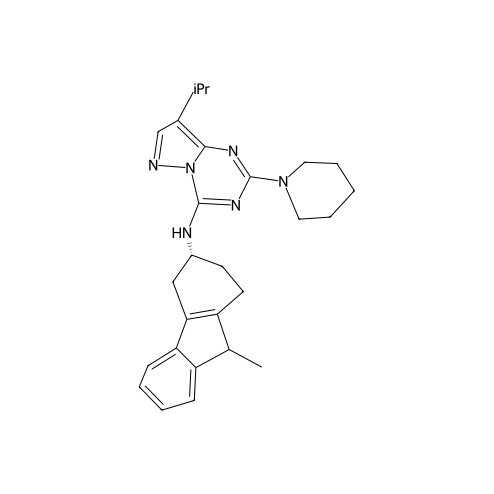 CC(C)c1cnn2c(N[C@@H]3CCC4=C(C3)c3ccccc3C4C)nc(N3CCCCC3)nc12